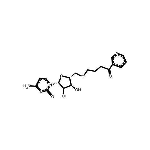 Nc1ccn([C@@H]2O[C@H](COCCCC(=O)c3cccnc3)[C@@H](O)[C@H]2O)c(=O)n1